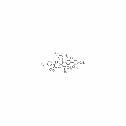 Cc1cc(C)c(-c2ccc3c(c2)C(C)(C)c2cc(/C=C4\C(=O)c5ccc(C(F)(F)F)cc5S4(=O)=O)sc2N3c2c(C)cc(C)cc2C)c(C)c1